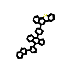 c1cc(-c2ccc3ccccc3c2)cc(-c2c3ccccc3c(-c3ccc(-c4cc5c6ccccc6sc5c5ccccc45)cc3)c3ccccc23)c1